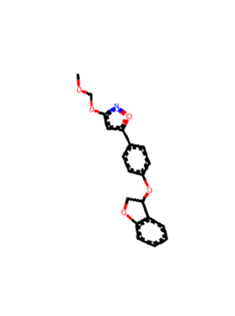 COCOc1cc(-c2ccc(OC3COc4ccccc43)cc2)on1